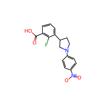 O=C(O)c1cccc(C2CCN(c3ccc([N+](=O)[O-])cc3)C2)c1F